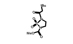 COC(=O)N1CCN(C(=O)CC(C)(C)C)S1(=O)=O